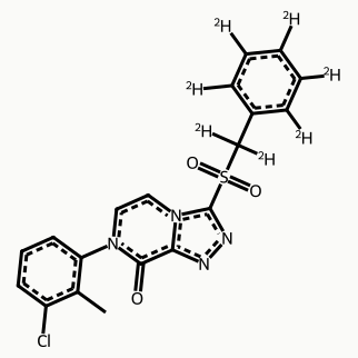 [2H]c1c([2H])c([2H])c(C([2H])([2H])S(=O)(=O)c2nnc3c(=O)n(-c4cccc(Cl)c4C)ccn23)c([2H])c1[2H]